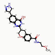 COCCNC(=O)c1ccc2c(c1)CC(c1nc(O)c3cc(C4C=NNC4)ccc3n1)CO2